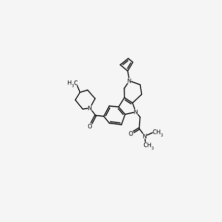 CC1CCN(C(=O)c2ccc3c(c2)c2c(n3CC(=O)N(C)C)CCN(C3=CC=C3)C2)CC1